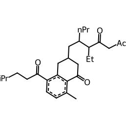 CCCC(CC1CC(=O)c2c(C)ccc(C(=O)CCC(C)C)c2C1)C(CC)C(=O)CC(C)=O